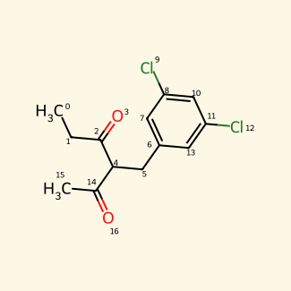 CCC(=O)C(Cc1cc(Cl)cc(Cl)c1)C(C)=O